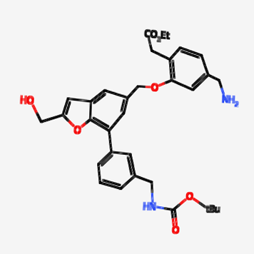 CCOC(=O)Cc1ccc(CN)cc1OCc1cc(-c2cccc(CNC(=O)OC(C)(C)C)c2)c2oc(CO)cc2c1